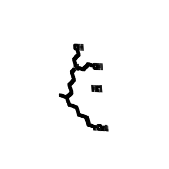 CCCCCCCCC=CCCCC(C)CCCCN(CCO)CCO.Cl